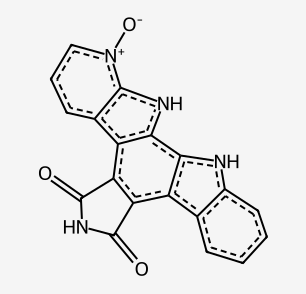 O=C1NC(=O)c2c1c1c3ccccc3[nH]c1c1[nH]c3c(ccc[n+]3[O-])c21